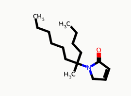 CCCCCCC(C)(CCCC)N1CC=CC1=O